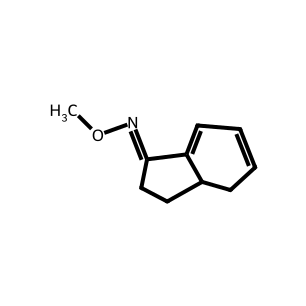 CO/N=C1\CCC2CC=CC=C12